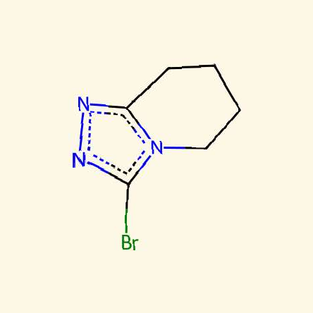 Brc1nnc2n1CCCC2